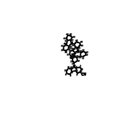 N#Cc1ccc2c(c1)c1ccccc1n2-c1ccc(C#N)c(-c2ccccc2-n2c3ccccc3c3c(-n4c5ccccc5c5ccccc54)cccc32)c1